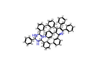 c1ccc(-c2nc(-c3ccccc3)c(-c3ccccc3)c(-c3cccc(-c4cccc(C5NC(c6ccccc6)NC(c6ccccc6)N5)c4)c3)c2-c2ccccc2)cc1